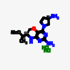 CO[C@H](C)[C@@H]1COc2c(nc(N)nc2N2CC[C@@H](N)C2)N1.Cl.Cl